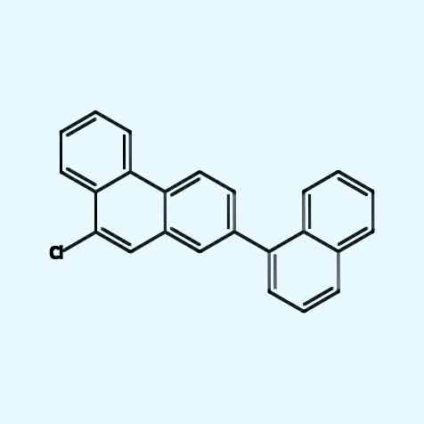 Clc1cc2cc(-c3cccc4ccccc34)ccc2c2ccccc12